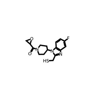 O=C(C1CO1)N1CCC(n2c(CS)nc3cc(F)ccc32)CC1